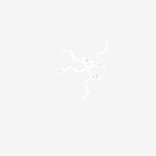 CCO[SiH2]C(CCS)([SiH2]OCC)[SiH2]OCC